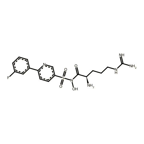 N=C(N)NCCC[C@@H](N)C(=O)N(O)S(=O)(=O)c1ccc(-c2cccc(F)c2)nc1